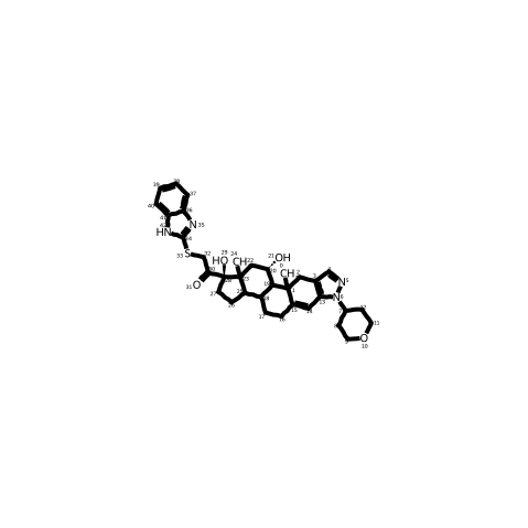 CC12Cc3cnn(C4CCOCC4)c3C=C1CCC1C2[C@@H](O)CC2(C)C1CC[C@]2(O)C(=O)CSc1nc2ccccc2[nH]1